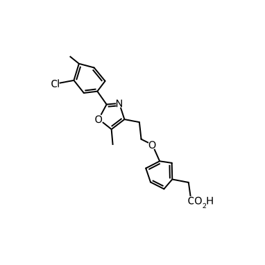 Cc1ccc(-c2nc(CCOc3cccc(CC(=O)O)c3)c(C)o2)cc1Cl